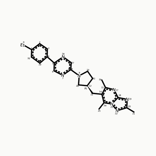 CCc1ccc(-c2cnc(N3CC[C@@H](Cc4c(C)nc5nc(C)nn5c4C)C3)cn2)cc1